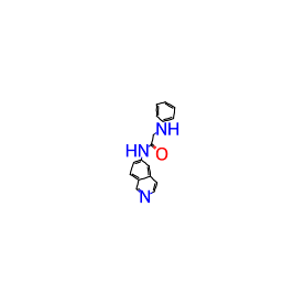 O=C(CNc1ccccc1)Nc1ccc2cnccc2c1